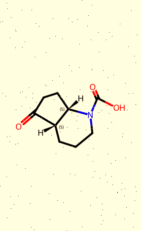 O=C1CC[C@H]2[C@@H]1CCCN2C(=O)O